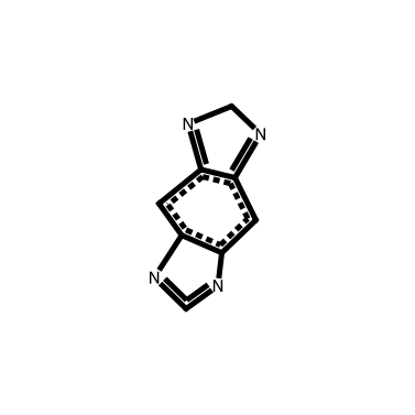 C1=Nc2cc3c(cc2N=1)=NCN=3